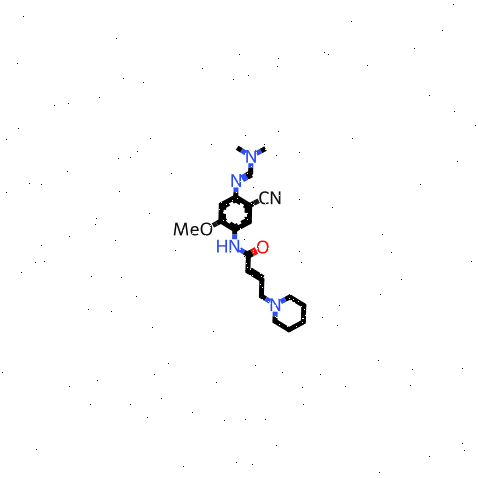 COc1cc(N=CN(C)C)c(C#N)cc1NC(=O)C=CCN1CCCCC1